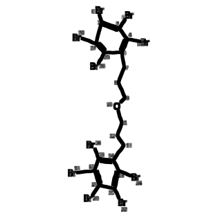 Brc1c(Br)c(Br)c(CCCOCCCc2c(Br)c(Br)c(Br)c(Br)c2Br)c(Br)c1Br